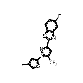 Cc1csc(-n2nc(-c3nc4cc(F)ccc4s3)cc2C(F)(F)F)c1